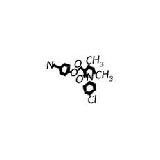 Cc1cc(C)n(-c2ccc(Cl)cc2)c(=O)c1C(=O)Oc1ccc(C#N)cc1